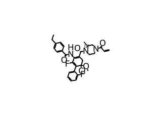 C=CC(=O)N1CCN(C(=O)C2=C(NC(=O)c3ccc(CC)cc3)C(F)=C(c3ccccc3F)C(Cl)(OC)C2)[C@@H](C)C1